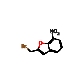 O=[N+]([O-])c1cccc2cc(CBr)oc12